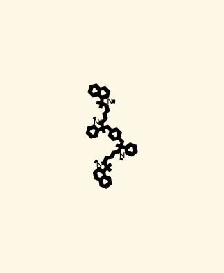 CN1/C(=C/C=C/C2=[N+](C)c3ccccc3C2(C)Cc2ccc(CC3(C)C(/C=C/C=C4/N(C)c5ccc6ccccc6c5C4(C)C)=[N+](C)c4ccccc43)cc2)C(C)(C)c2c1ccc1ccccc21